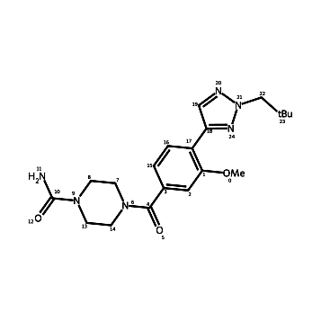 COc1cc(C(=O)N2CCN(C(N)=O)CC2)ccc1-c1cnn(CC(C)(C)C)n1